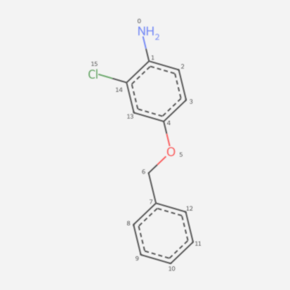 Nc1ccc(OCc2ccccc2)cc1Cl